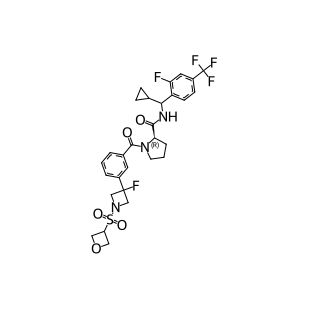 O=C(NC(c1ccc(C(F)(F)F)cc1F)C1CC1)[C@H]1CCCN1C(=O)c1cccc(C2(F)CN(S(=O)(=O)C3COC3)C2)c1